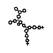 CC(C)(C)c1ccc(-c2ccc(-c3ccc4c(c3)c3c(n4-c4ccc(-c5ccc(N(C6=CCC(C7CC(c8ccccc8)CC(C8CCCCC8)C7)CC6)c6ccc(-c7ccccc7)cc6)c6c5=CCC=6)cc4)CCC(C4CCC(c5ccc(C(C)(C)C)cc5)CC4)C3)cc2)cc1